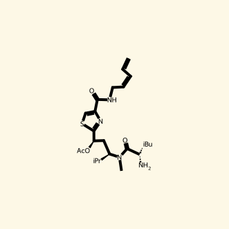 C=C/C=C\CNC(=O)c1csc([C@@H](C[C@H](C(C)C)N(C)C(=O)[C@@H](N)[C@@H](C)CC)OC(C)=O)n1